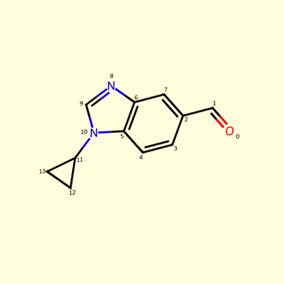 O=Cc1ccc2c(c1)ncn2C1CC1